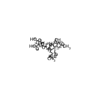 CCOc1cc2c(cc1OC)C(c1ccc(OC)nc1OC)=N[C@@H]1CC[C@@H](OC(=O)CC(O)(CC(=O)O)C(=O)O)C[C@H]21